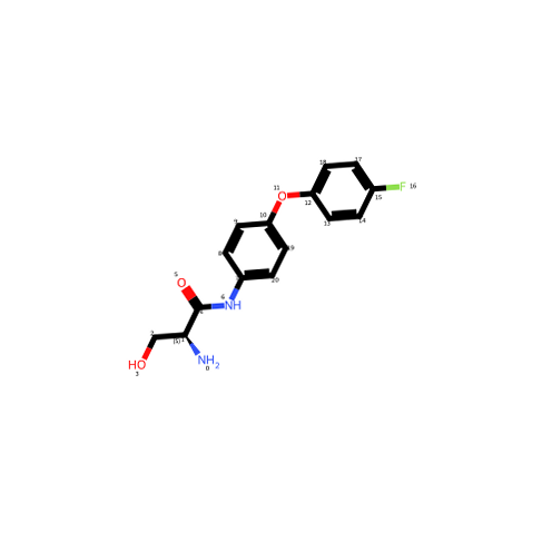 N[C@@H](CO)C(=O)Nc1ccc(Oc2ccc(F)cc2)cc1